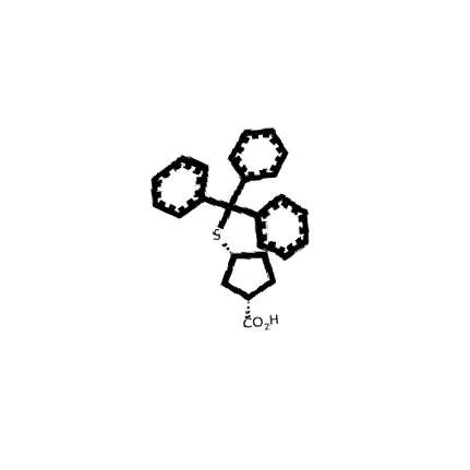 O=C(O)[C@H]1CC[C@@H](SC(c2ccccc2)(c2ccccc2)c2ccccc2)C1